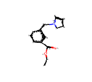 CCOC(=O)c1cccc(CN2CCCC2)c1